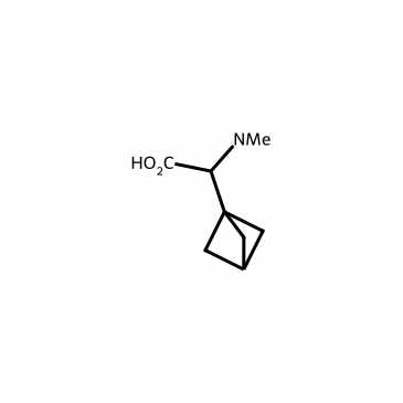 CNC(C(=O)O)C12CC(C1)C2